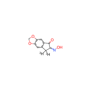 [2H]C1([2H])/C(=N/O)C(=O)c2cc3c(cc21)OCO3